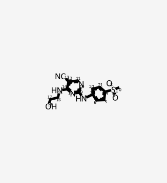 CS(=O)(=O)c1ccc(Nc2ncc(C#N)c(NCCO)n2)cc1